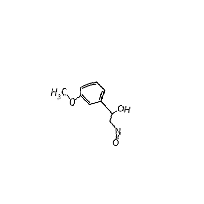 COc1cccc(C(O)CN=O)c1